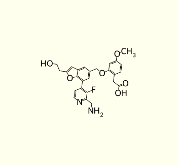 COc1ccc(CC(=O)O)c(OCc2cc(-c3ccnc(CN)c3F)c3oc(CCO)cc3c2)c1